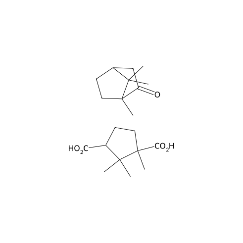 CC1(C(=O)O)CCC(C(=O)O)C1(C)C.CC12CCC(CC1=O)C2(C)C